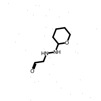 O=CCNNC1CCCCO1